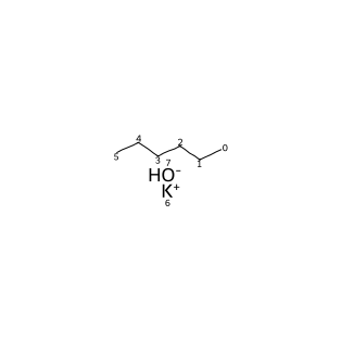 CCCCCC.[K+].[OH-]